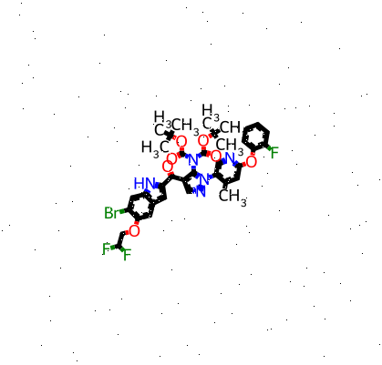 Cc1cc(Oc2ccccc2F)ncc1-n1ncc(C(=O)c2cc3cc(OCC(F)F)c(Br)cc3[nH]2)c1N(C(=O)OC(C)(C)C)C(=O)OC(C)(C)C